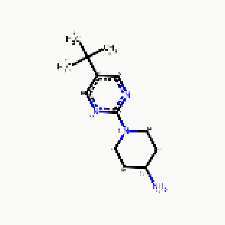 CC(C)(C)c1cnc(N2CCC(N)CC2)nc1